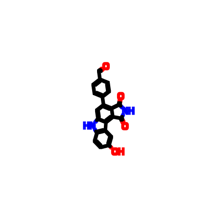 O=Cc1ccc(-c2cc3[nH]c4ccc(O)cc4c3c3c2C(=O)NC3=O)cc1